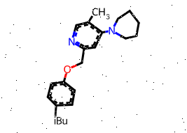 CCC(C)c1ccc(OCc2cc(N3CCCCC3)c(C)cn2)cc1